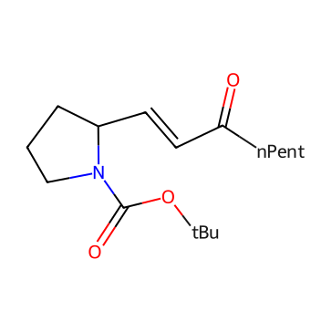 CCCCCC(=O)C=CC1CCCN1C(=O)OC(C)(C)C